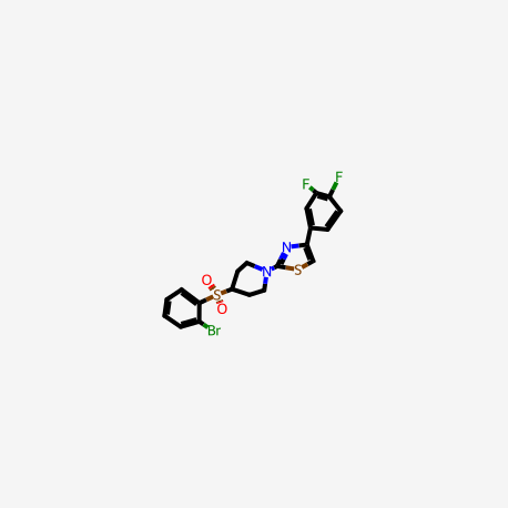 O=S(=O)(c1ccccc1Br)C1CCN(c2nc(-c3ccc(F)c(F)c3)cs2)CC1